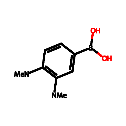 CNc1ccc(B(O)O)cc1NC